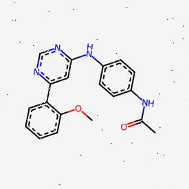 COc1ccccc1-c1cc(Nc2ccc(NC(C)=O)cc2)ncn1